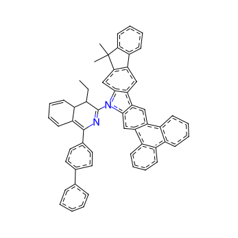 CCC1C(n2c3cc4c(cc3c3cc5c6ccccc6c6ccccc6c5cc32)-c2ccccc2C4(C)C)=NC(c2ccc(-c3ccccc3)cc2)=C2C=CC=CC21